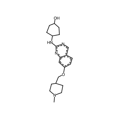 CN1CCC(COc2ccc3cnc(NC4CCC(O)CC4)nc3c2)CC1